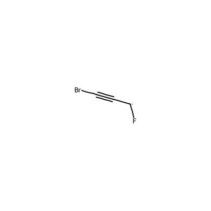 F[CH]C#CBr